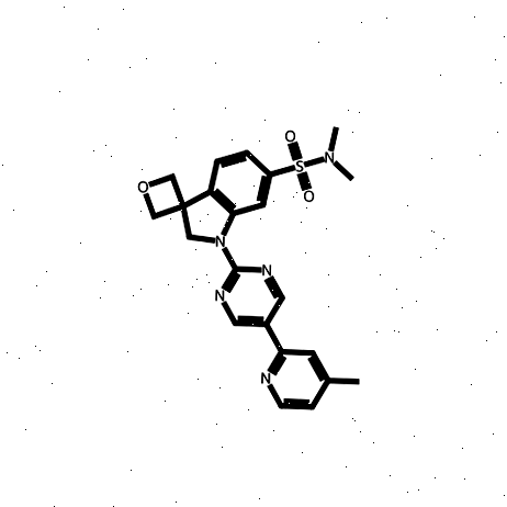 Cc1ccnc(-c2cnc(N3CC4(COC4)c4ccc(S(=O)(=O)N(C)C)cc43)nc2)c1